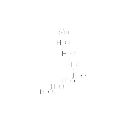 O.O.O.O.O.O.O.[Mn]